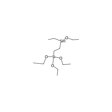 CCO[SiH](CC)CC[Si](OCC)(OCC)OCC